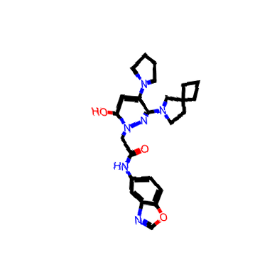 O=C(CN1N=C(N2CCC3(CCC3)C2)C(N2CCCC2)=CC1O)Nc1ccc2ocnc2c1